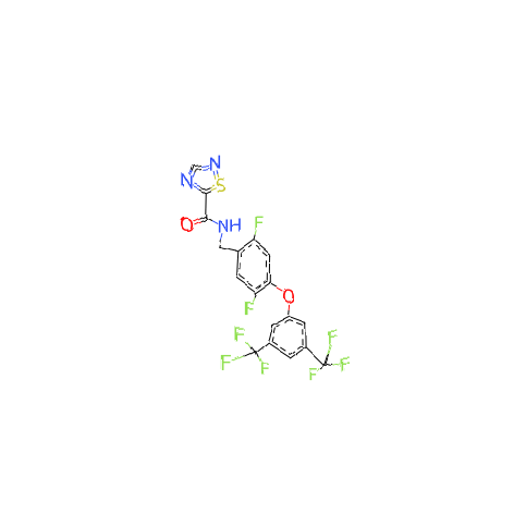 O=C(NCc1cc(F)c(Oc2cc(C(F)(F)F)cc(C(F)(F)F)c2)cc1F)c1ncns1